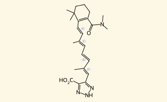 CC(/C=C/C1=C(C(=O)N(C)C)CCCC1(C)C)=C\C=C\C(C)=C\c1n[nH]nc1C(=O)O